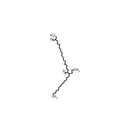 CCCCCCCCCCCCCC(CCC)C(C=O)CCCCCCCCCCCCCCCC(C=O)CC